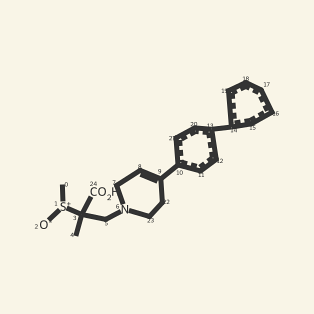 C[S+]([O-])C(C)(CN1CC=C(c2ccc(-c3ccccc3)cc2)CC1)C(=O)O